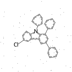 Clc1ccc2c(c1)c1cc(-c3ccccc3)cc(-c3ccccc3)c1n2-c1ccccc1